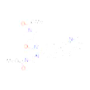 COC(=O)N1CCC(CN2C(=O)C3(CN(C(=O)OC)C3)N=C2c2ccc(-c3ccc4cccnc4c3)cc2)C1